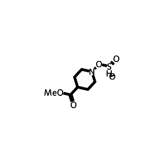 COC(=O)C1CCN(O[SH](=O)=O)CC1